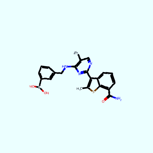 Cc1sc2c(C(N)=O)cccc2c1-c1ncc(C(C)C)c(NCc2cccc(B(O)O)c2)n1